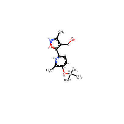 Cc1nc(-c2onc(C)c2CO)ccc1O[Si](C)(C)C(C)(C)C